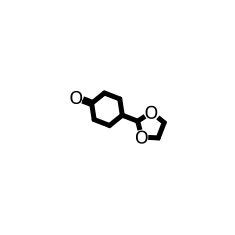 O=C1CCC(C2OCCO2)CC1